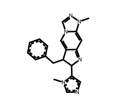 CN1N=CN2C=C3C(=NC(c4cncn4C)C3Cc3ccccc3)C=C21